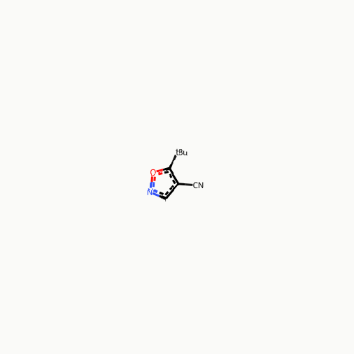 CC(C)(C)c1on[c]c1C#N